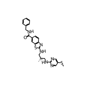 CSc1cnc(NC[C@H](C)CNc2nc3ccc(C(=O)NCc4ccccc4)cc3s2)nc1